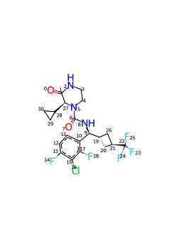 O=C1NCCN(C(=O)N[C@H](c2ccc(F)c(Cl)c2F)[C@H]2C[C@H](C(F)(F)F)C2)[C@H]1C1CC1